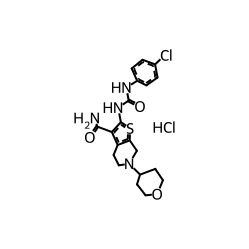 Cl.NC(=O)c1c(NC(=O)Nc2ccc(Cl)cc2)sc2c1CCN(C1CCOCC1)C2